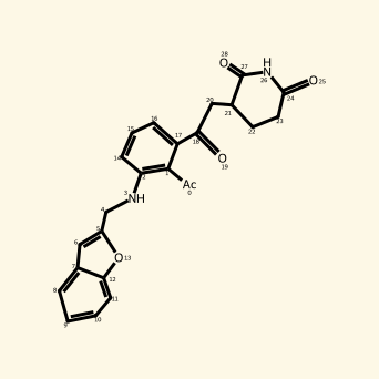 CC(=O)c1c(NCc2cc3ccccc3o2)cccc1C(=O)CC1CCC(=O)NC1=O